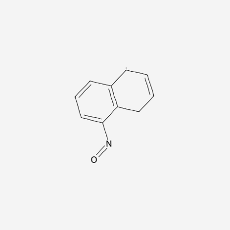 O=Nc1cccc2c1CC=C[CH]2